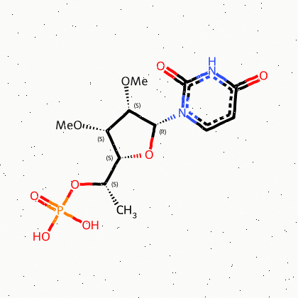 CO[C@H]1[C@@H]([C@H](C)OP(=O)(O)O)O[C@@H](n2ccc(=O)[nH]c2=O)[C@H]1OC